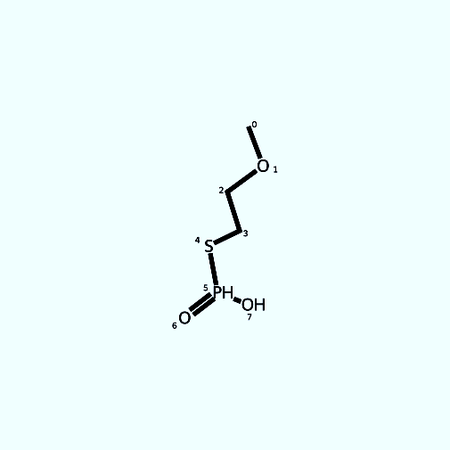 COCCS[PH](=O)O